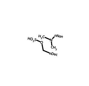 CCCCCCCCCCCOS(=O)(=O)O.CCCCCCCCCN(C)C